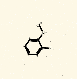 Fc1ccccc1[N]Cl